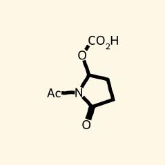 CC(=O)N1C(=O)CCC1OC(=O)O